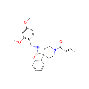 CC=CC(=O)N1CCC(C(=O)NCc2ccc(OC)cc2OC)(c2ccccc2)CC1